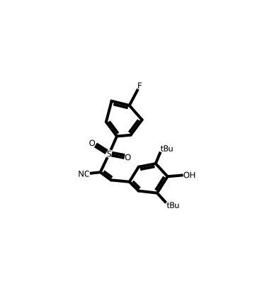 CC(C)(C)c1cc(C=C(C#N)S(=O)(=O)c2ccc(F)cc2)cc(C(C)(C)C)c1O